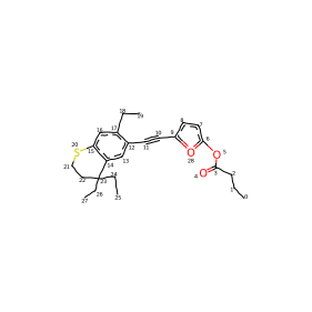 CCCC(=O)Oc1ccc(C#Cc2cc3c(cc2CC)SCCC3(CC)CC)o1